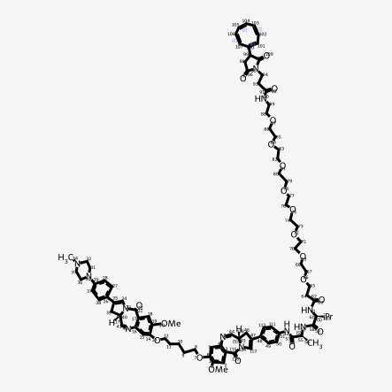 COc1cc2c(cc1OCCCCCOc1cc3c(cc1OC)C(=O)N1C=C(c4ccc(N5CCN(C)CC5)cc4)C[C@H]1C=N3)N=C[C@@H]1CC(c3ccc(NC(=O)[C@H](C)NC(=O)[C@@H](NC(=O)CCOCCOCCOCCOCCOCCOCCOCCOCCNC(=O)CCN4C(=O)CC(C5=C/C=C\C=C/C=C\5)C4=O)C(C)C)cc3)=CN1C2=O